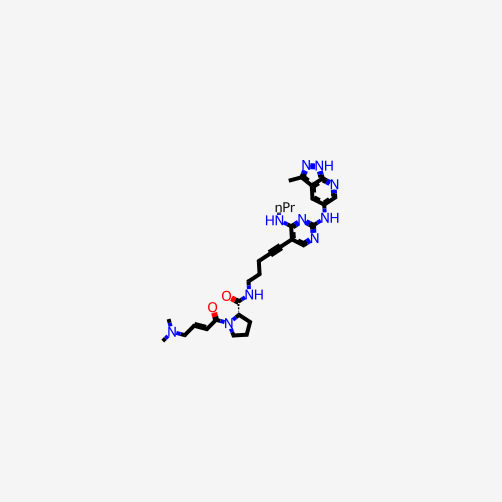 CCCNc1nc(Nc2cnc3[nH]nc(C)c3c2)ncc1C#CCCCNC(=O)[C@@H]1CCCN1C(=O)C=CCN(C)C